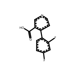 O=C(O)c1cnccc1-c1ccc(F)cc1F